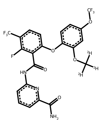 [2H]C([2H])([2H])Oc1cc(OC(F)(F)F)ccc1Oc1ccc(C(F)(F)F)c(F)c1C(=O)Nc1cccc(C(N)=O)n1